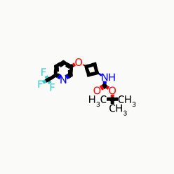 CC(C)(C)OC(=O)N[C@H]1C[C@H](Oc2ccc(C(F)(F)F)nc2)C1